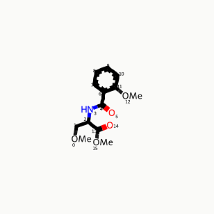 COCC(NC(=O)c1ccccc1OC)C(=O)OC